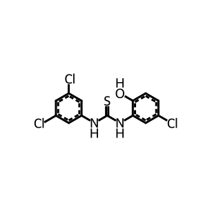 Oc1ccc(Cl)cc1NC(=S)Nc1cc(Cl)cc(Cl)c1